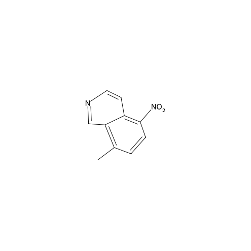 Cc1ccc([N+](=O)[O-])c2ccncc12